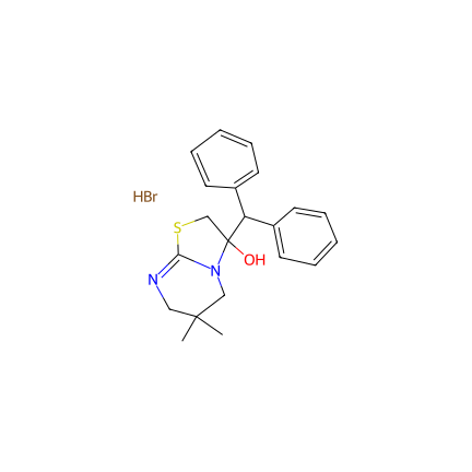 Br.CC1(C)CN=C2SCC(O)(C(c3ccccc3)c3ccccc3)N2C1